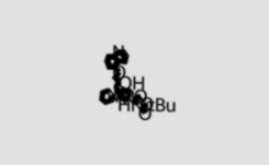 CC(C)(C)OC(=O)NC(=O)N1CC[N+](CC(O)COc2cccc3ncccc23)(N2CCCCC2)CC1